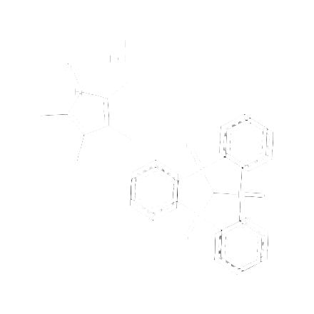 CC1=[C](C)[Bi]([Zr])[C](C)=C1C.Cl.Cl.O=P(c1ccccc1)(c1ccccc1)C(P(=O)(c1ccccc1)c1ccccc1)P(=O)(c1ccccc1)c1ccccc1